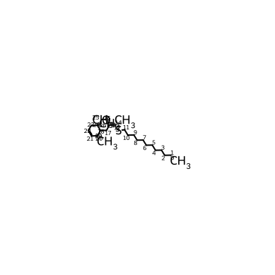 CCCCCCCCCCCCSC(C)C(=O)CC1[C@@H](C)C=CCC1(C)C